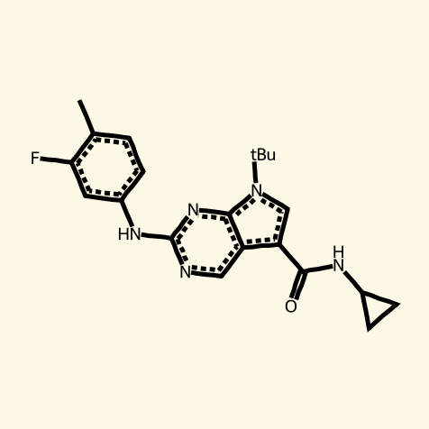 Cc1ccc(Nc2ncc3c(C(=O)NC4CC4)cn(C(C)(C)C)c3n2)cc1F